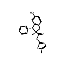 Cc1cnc(NC(=O)[C@@]2(C)Cc3ccc(O)cc3[C@H]2c2ccccc2)s1